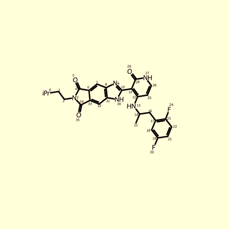 CC(C)CCN1C(=O)c2cc3nc(-c4c(NC(C)Cc5cc(F)ccc5F)cc[nH]c4=O)[nH]c3cc2C1=O